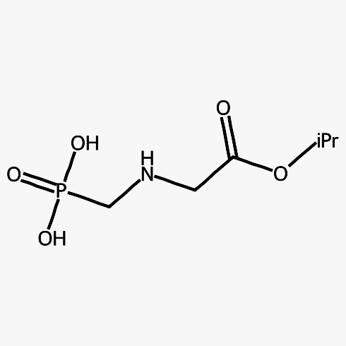 CC(C)OC(=O)CNCP(=O)(O)O